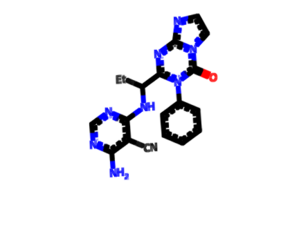 CCC(Nc1ncnc(N)c1C#N)c1nc2nccn2c(=O)n1-c1ccccc1